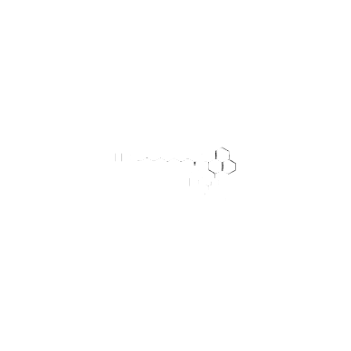 CCCCCCCCCC(=O)OC1C=C(OC(C)C)c2cccc3cccc1c23